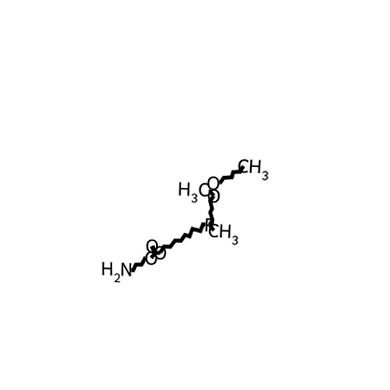 CCCCCCOC(C)OCCCCP(C)CCCCCCCCCOC(=O)OCCCCN